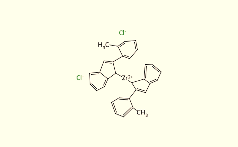 Cc1ccccc1C1=Cc2ccccc2[CH]1[Zr+2][CH]1C(c2ccccc2C)=Cc2ccccc21.[Cl-].[Cl-]